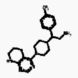 NCC(c1ccc(C(F)(F)F)cc1)C1CCN(c2ncnc3c2CCCN3)CC1